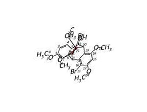 COc1ccc2c(c1)C1c3c(Br)c(OC)cc(OC)c3C(c3c(Br)c(OC)cc(OC)c31)C2O